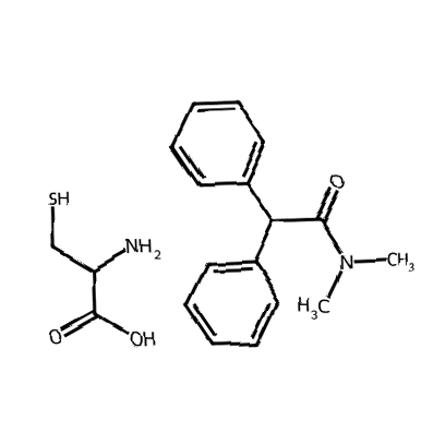 CN(C)C(=O)C(c1ccccc1)c1ccccc1.NC(CS)C(=O)O